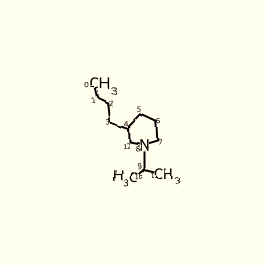 CCCCC1CCCN(C(C)C)C1